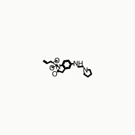 C=CCS(=O)(=O)N1C(=O)Cc2cc(NCCN3CCCC3)ccc21